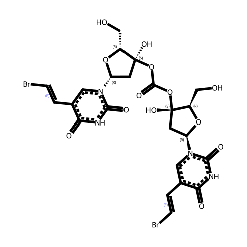 O=C(O[C@@]1(O)C[C@H](n2cc(/C=C/Br)c(=O)[nH]c2=O)O[C@@H]1CO)O[C@@]1(O)C[C@H](n2cc(/C=C/Br)c(=O)[nH]c2=O)O[C@@H]1CO